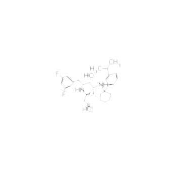 CC(C)c1cccc(C2(NC[C@@H](O)[C@H](Cc3cc(F)cc(F)c3)NC(=O)CF)CCCCC2)c1.Cl